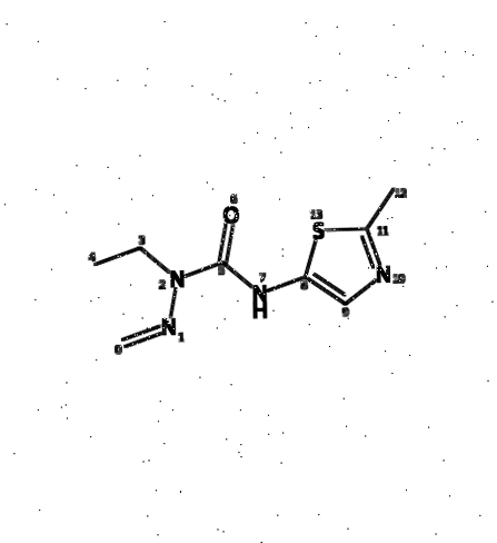 C=NN(CC)C(=O)Nc1cnc(C)s1